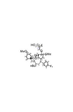 CCCCC1CC(c2ccc(F)cc2)c2cc(SC)c(O/C=C(\F)C(=O)O)cc2S(O)(O)C1Cc1ccc(OC)cc1